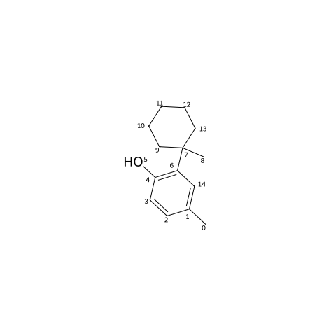 Cc1ccc(O)c(C2(C)CCCCC2)c1